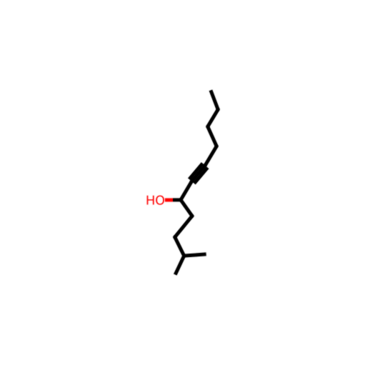 CCCCC#CC(O)CCC(C)C